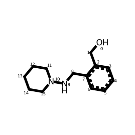 OCc1ccccc1CNN1CCCCC1